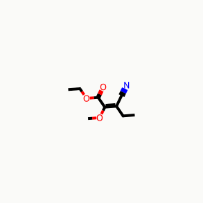 CCOC(=O)/C(OC)=C(\C#N)CC